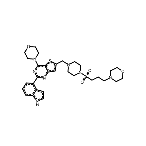 O=S(=O)(CCCN1CCOCC1)N1CCN(Cc2cc3nc(-c4cccc5[nH]ccc45)nc(N4CCOCC4)c3s2)CC1